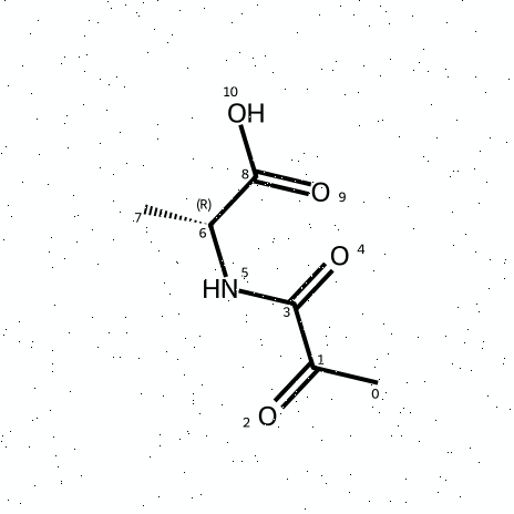 CC(=O)C(=O)N[C@H](C)C(=O)O